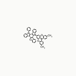 Cc1ccc2c(c1)Oc1cc(-n3c4ccccc4c4c5c(c6ccccc6n5-c5ccccc5)c5oc6ccccc6c5c43)cc3c1B2c1ccc(C)cc1O3